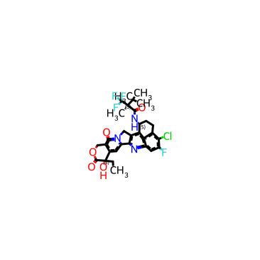 CC[C@@]1(O)C(=O)OCc2c1cc1n(c2=O)Cc2c-1nc1cc(F)c(Cl)c3c1c2[C@@H](NC(=O)[C@](C)(C(C)(C)C)C(F)(F)F)CC3